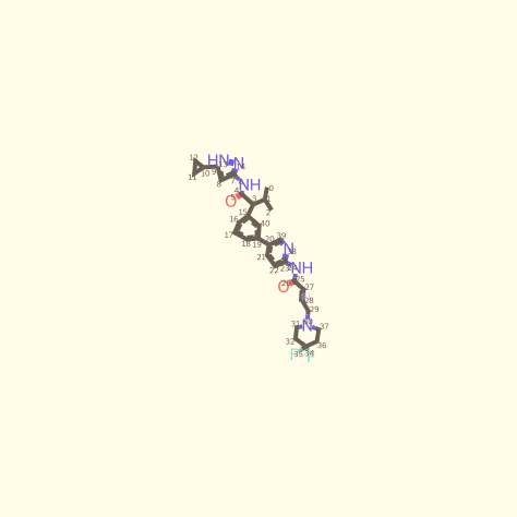 CC(C)C(C(=O)Nc1cc(C2CC2)[nH]n1)c1cccc(-c2ccc(NC(=O)/C=C/CN3CCC(F)(F)CC3)nc2)c1